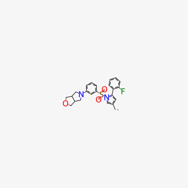 [CH2]c1cc(-c2ccccc2F)n(S(=O)(=O)c2cccc(N3CC4COCC4C3)c2)c1